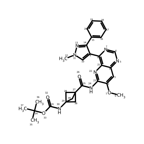 COc1cc2ncnc(-c3cn(C)nc3-c3ccccc3)c2nc1NC(=O)C12CC(NC(=O)OC(C)(C)C)(C1)C2